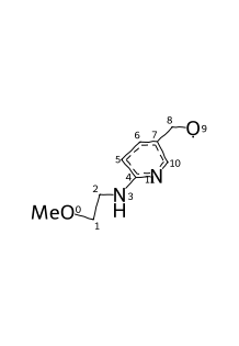 COCCNc1ccc(C[O])cn1